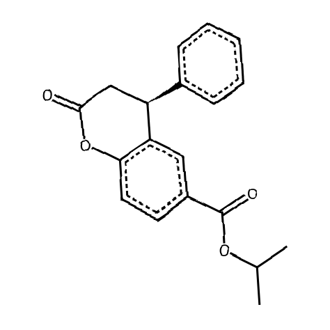 CC(C)OC(=O)c1ccc2c(c1)[C@H](c1ccccc1)CC(=O)O2